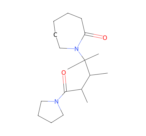 CC(C(=O)N1CCCC1)C(C)C(C)(C)N1CCCCCC1=O